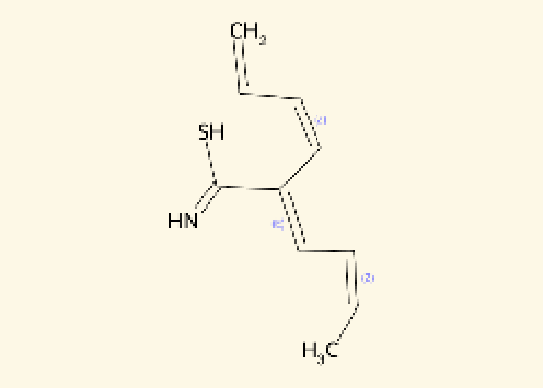 C=C\C=C/C(=C\C=C/C)C(=N)S